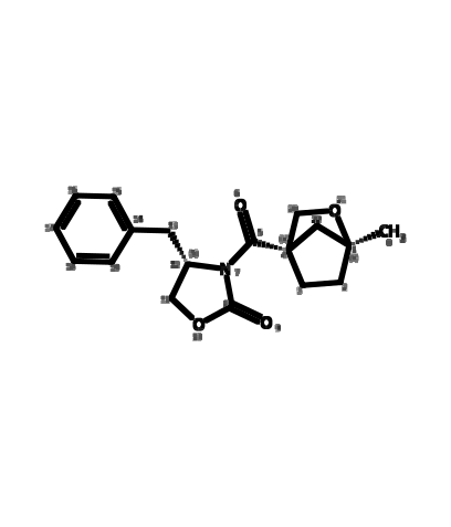 C[C@@]12CC[C@@](C(=O)N3C(=O)OC[C@@H]3Cc3ccccc3)(CO1)C2